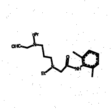 CCCN(CC=O)CCCN(CC)CC(=O)Nc1c(C)cccc1C